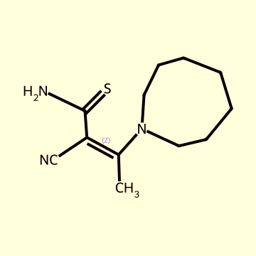 C/C(=C(\C#N)C(N)=S)N1CCCCCCC1